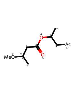 CO[C@H](C)CC(=O)OC(C)CC(C)=O